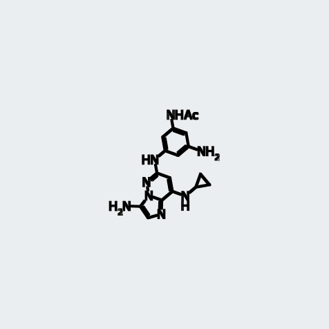 CC(=O)Nc1cc(N)cc(Nc2cc(NC3CC3)c3ncc(N)n3n2)c1